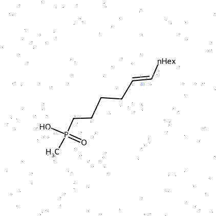 CCCCCC/C=C/CCCCP(C)(=O)O